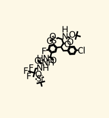 CC(C)(C)OC(=O)N[C@H]1CS(=O)(=O)c2cc(F)c(C(=O)NNC(=O)NCC(C)(O[Si](C)(C)C(C)(C)C)C(F)(F)F)cc2C(Cc2ccc(Cl)cc2)C1=O